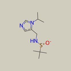 CC(C)n1cncc1CN[S+]([O-])C(C)(C)C